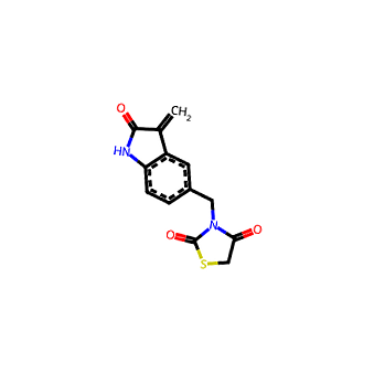 C=C1C(=O)Nc2ccc(CN3C(=O)CSC3=O)cc21